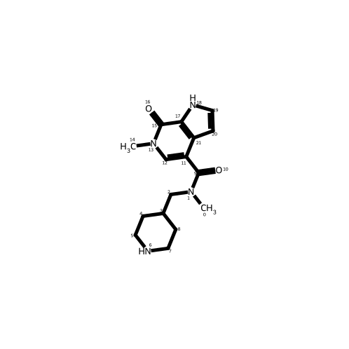 CN(CC1CCNCC1)C(=O)c1cn(C)c(=O)c2[nH]ccc12